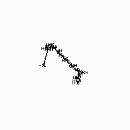 O=C(O)CCCCCCCCCCCCCCCCC(=O)N[C@@H](CCC(=O)N[C@H](CCC(=O)NCCOCCOCC(=O)NCCOCCOCC(=O)NCCOCCOCC(=O)NCCOCCOCC(=O)N[C@@H](Cc1ccc(O)cc1)C(=O)CNCC(=O)N[C@H]1CSSC[C@@H](C(=O)O)NCC1=O)C(=O)O)C(=O)O